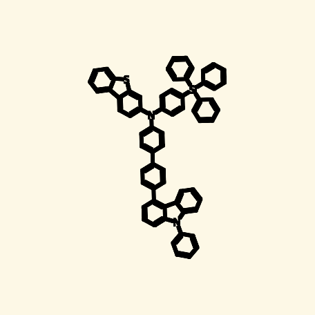 c1ccc(-n2c3ccccc3c3c(-c4ccc(-c5ccc(N(c6ccc([Si](c7ccccc7)(c7ccccc7)c7ccccc7)cc6)c6ccc7c(c6)sc6ccccc67)cc5)cc4)cccc32)cc1